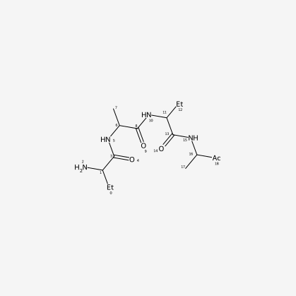 CCC(N)C(=O)NC(C)C(=O)NC(CC)C(=O)NC(C)C(C)=O